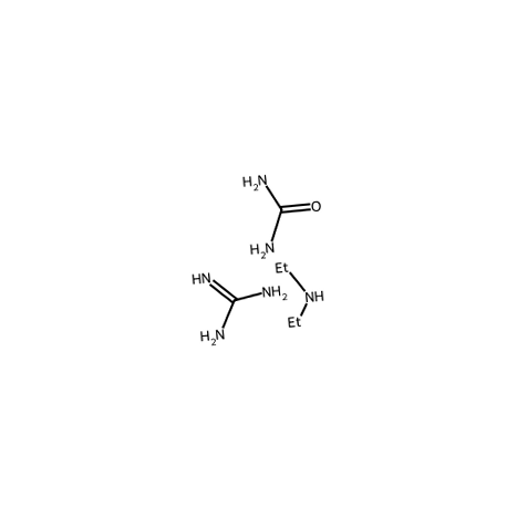 CCNCC.N=C(N)N.NC(N)=O